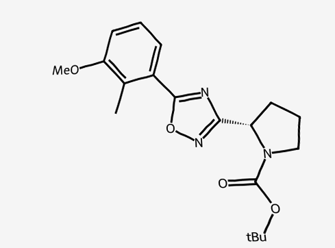 COc1cccc(-c2nc([C@@H]3CCCN3C(=O)OC(C)(C)C)no2)c1C